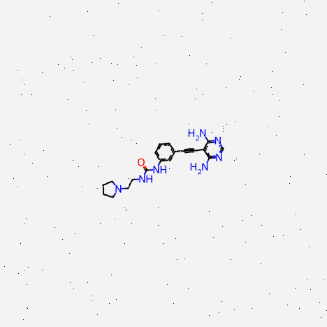 Nc1ncnc(N)c1C#Cc1cccc(NC(=O)NCCN2CCCC2)c1